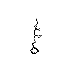 CCOC(=O)CC(O)COCc1ccccc1